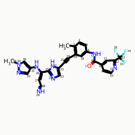 Cc1ccc(NC(=O)c2ccnc(C(F)(F)F)c2)cc1C#Cc1cnc(/C(=C\C=N)Nc2cnn(C)c2)[nH]1